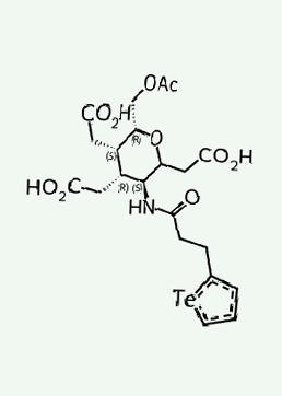 CC(=O)OC[C@@H]1OC(CC(=O)O)[C@@H](NC(=O)CCc2ccc[te]2)[C@H](CC(=O)O)[C@@H]1CC(=O)O